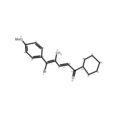 COc1ccc(/C(Br)=C(C)/C=C/C(=O)C2CCCCC2)cc1